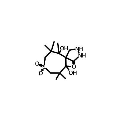 CC1(C)CS(=O)(=O)CC(C)(C)C(C)(O)C2(CNNC2=O)C1(C)O